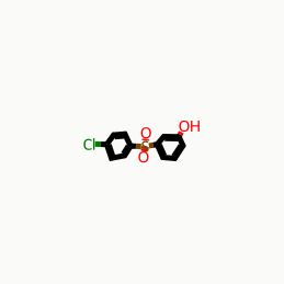 O=S(=O)(c1ccc(Cl)cc1)c1cccc(O)c1